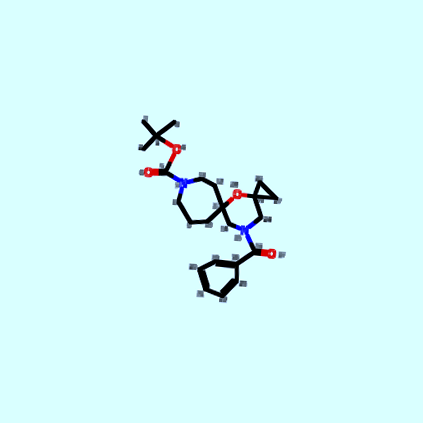 CC(C)(C)OC(=O)N1CCCC2(CC1)CN(C(=O)c1ccccc1)CC1(CC1)O2